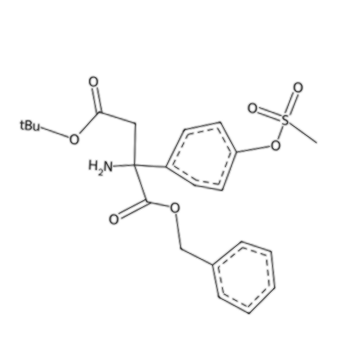 CC(C)(C)OC(=O)CC(N)(C(=O)OCc1ccccc1)c1ccc(OS(C)(=O)=O)cc1